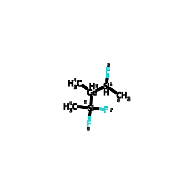 C[SiH](F)[GeH]([CH3])[Si](C)(F)F